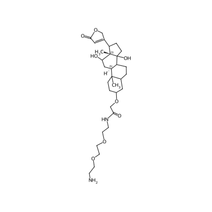 CC12CCC(OCC(=O)NCCOCCOCCN)CC1CCC1[C@@H]2CC(O)[C@]2(C)C(C3=CC(=O)OC3)CCC12O